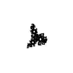 CCOc1ccc(NC(=S)Nc2ccc(OCC)cc2)cc1.Cl[C@H]1[C@H](Cl)[C@@H](Cl)[C@@H](Cl)[C@H](Cl)[C@H]1Cl.[W]